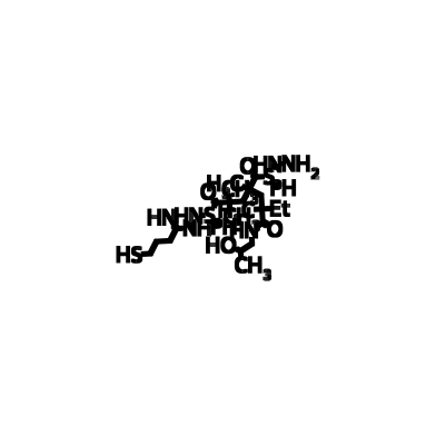 CCC(C)(CC(C)(CC(C)(C)C(=O)S(=P)NNC(=N)CCCS)C(=O)S(=P)NN)C(=O)NCC(C)O